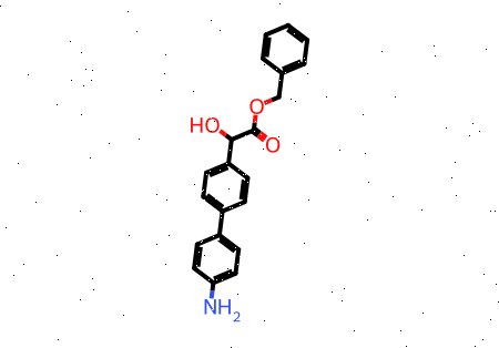 Nc1ccc(-c2ccc(C(O)C(=O)OCc3ccccc3)cc2)cc1